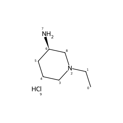 CCN1CCC[C@@H](N)C1.Cl